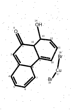 O=C1C=C2C=CC=CC2C2=CC=CC(O)C12.[Br][Cu][Br]